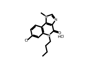 CCCCn1c(=O)c2ncn(C)c2c2ccc(Cl)cc21.Cl